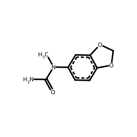 CN(C(N)=O)c1ccc2c(c1)OCO2